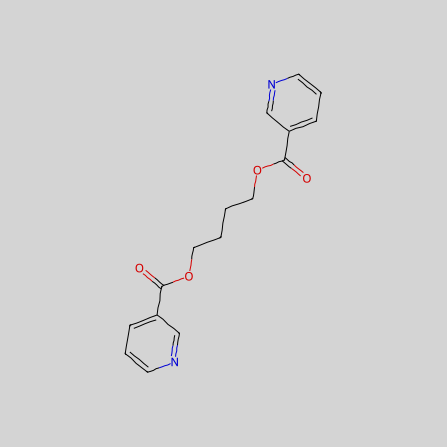 O=C(OCCCCOC(=O)c1cccnc1)c1cccnc1